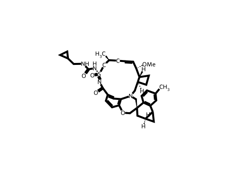 CO[C@H]1/C=C/C[C@H](C)C[S@@](=O)(NC(=O)NCC2CC2)=NC(=O)c2ccc3c(c2)N(C[C@@H]2CC[C@H]21)C[C@]1(CO3)C[C@@H]2C[C@@H]2c2cc(C)ccc21